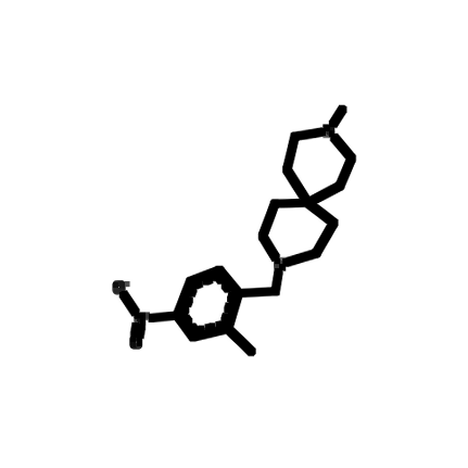 Cc1cc([N+](=O)[O-])ccc1CN1CCC2(CCN(C)CC2)CC1